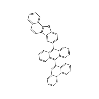 c1ccc2c(c1)cc(-c1c3ccccc3c(-c3ccc4sc5c6ccccc6ccc5c4c3)c3ccccc13)c1ccccc12